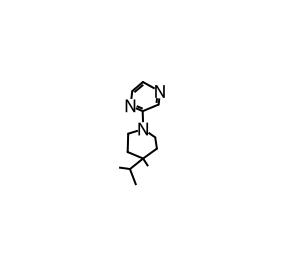 CC(C)C1(C)CCN(c2cnccn2)CC1